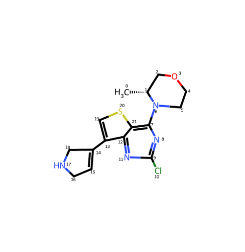 C[C@@H]1COCCN1c1nc(Cl)nc2c(C3=CCNC3)csc12